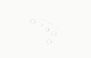 Cc1cc(Oc2ccccc2)ccc1N(C(=O)CCl)[C@H](C(=O)N1CCN(C(=O)OC(C)(C)C)C(C(=O)NCc2ccccc2)C1)c1cccs1